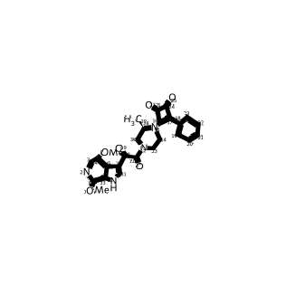 COc1ncc(OC)c2c(C(=O)C(=O)N3CCN(c4c(-c5ccccc5)c(=O)c4=O)[C@@H](C)C3)c[nH]c12